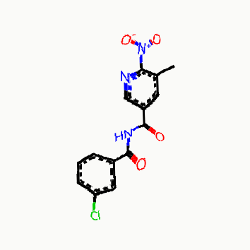 Cc1cc(C(=O)NC(=O)c2cccc(Cl)c2)cnc1[N+](=O)[O-]